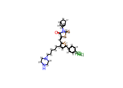 Cl.Cl.O=C1C(=Cc2sc(-c3ccc(Cl)cc3)cc2CCCCCN2CCNCC2)SC(=S)N1C1CC2CCC1C2